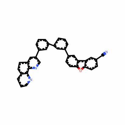 N#Cc1ccc2oc3ccc(-c4cccc(-c5cccc(-c6cnc7c(ccc8cccnc87)c6)c5)c4)cc3c2c1